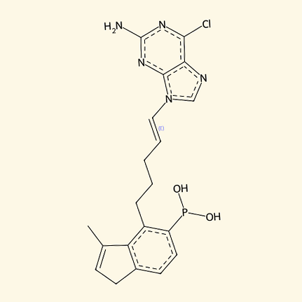 CC1=CCc2ccc(P(O)O)c(CCC/C=C/n3cnc4c(Cl)nc(N)nc43)c21